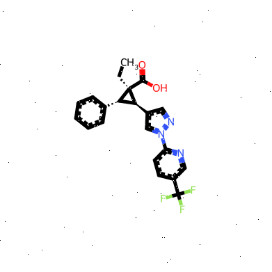 CC[C@@]1(C(=O)O)[C@@H](c2ccccc2)[C@@H]1c1cnn(-c2ccc(C(F)(F)F)cn2)c1